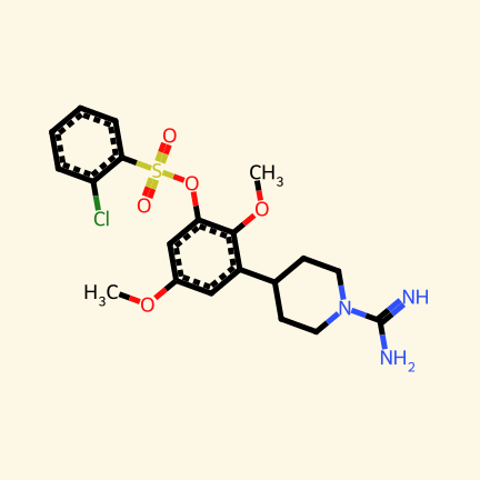 COc1cc(OS(=O)(=O)c2ccccc2Cl)c(OC)c(C2CCN(C(=N)N)CC2)c1